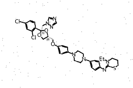 CCN1CCCSC1=Nc1ccc(N2CCN(c3ccc(OC[C@@H]4CO[C@@](Cn5cncn5)(c5ccc(Cl)cc5Cl)O4)cc3)CC2)cc1